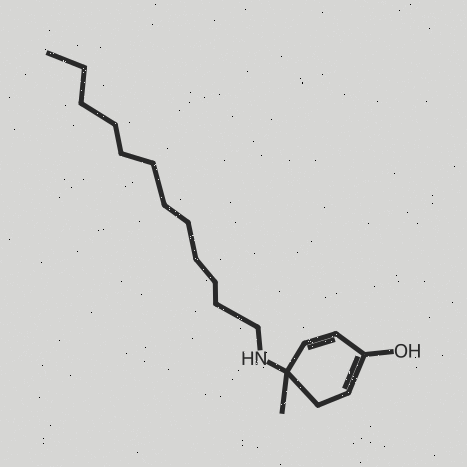 CCCCCCCCCCCCNC1(C)C=CC(O)=CC1